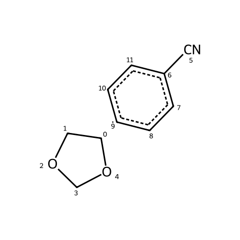 C1COCO1.N#Cc1cc[c]cc1